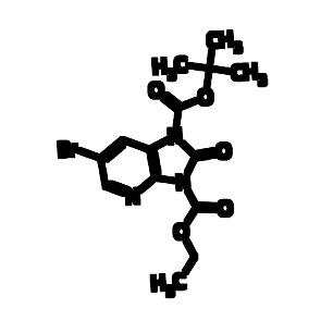 CCOC(=O)n1c(=O)n(C(=O)OC(C)(C)C)c2cc(Br)cnc21